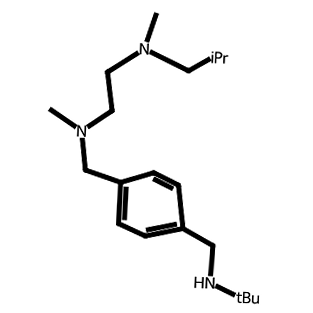 CC(C)CN(C)CCN(C)Cc1ccc(CNC(C)(C)C)cc1